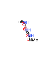 CCCNC(=O)CCCOCC(=O)NCc1ccc(CC(=O)NCCC(=O)NC)cc1